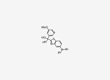 CCCC(O)(c1cncc(OC)c1)c1nc2cc(N(C(C)C)C(C)C)ccc2s1